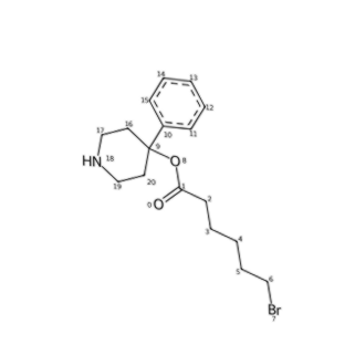 O=C(CCCCCBr)OC1(c2ccccc2)CCNCC1